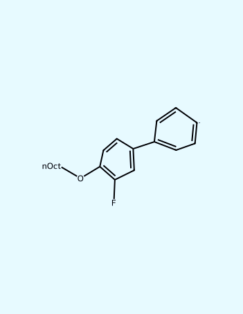 CCCCCCCCOc1ccc(-c2cc[c]cc2)cc1F